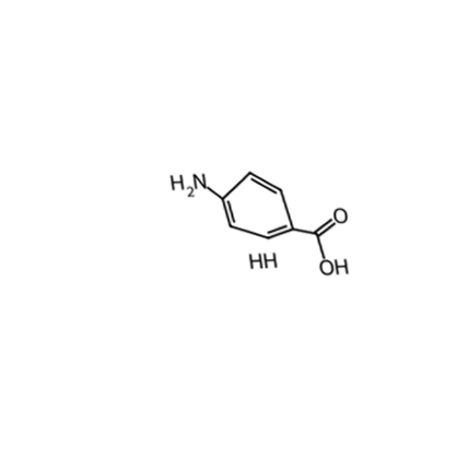 Nc1ccc(C(=O)O)cc1.[HH]